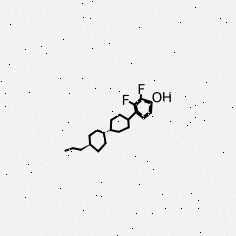 CCC[C@H]1CC[C@H](C2CCC(c3ccc(O)c(F)c3F)CC2)CC1